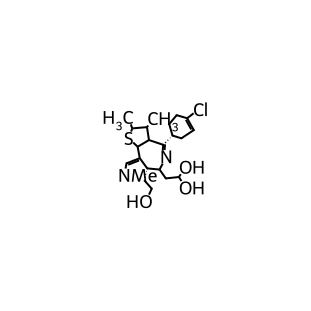 CN/C=C1/C2SC(C)C(C)C2C([C@H]2CC=C(Cl)CC2)=NC(CC(O)O)[C@@H]1CCO